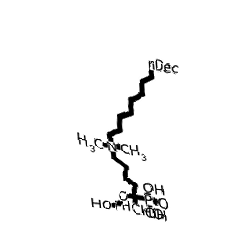 CCCCCCCCCCCCCCCCCC[N+](C)(C)CCCCC(C=O)(OPO)P(=O)(O)O